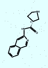 O=C(Nc1cc2ccccc2cn1)[C@@H]1CCNC1